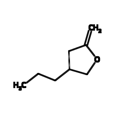 C=C1CC(CCC)CO1